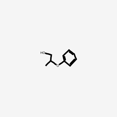 CC([CH]O)Oc1ccccc1